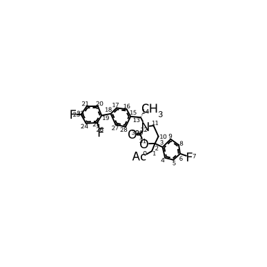 CC(=O)CC1(c2ccc(F)cc2)CCN([C@@H](C)c2ccc(-c3ccc(F)cc3F)cc2)C(=O)O1